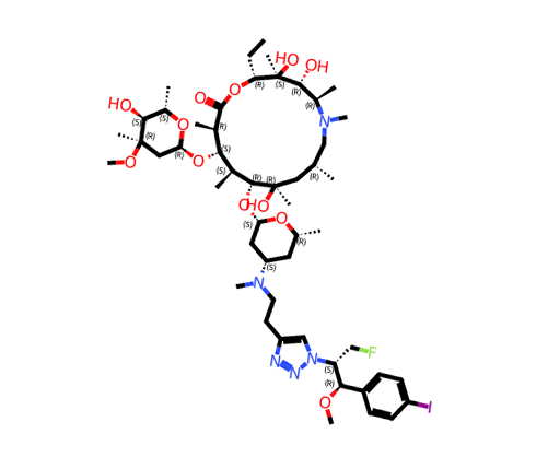 CC[C@H]1OC(=O)[C@H](C)[C@@H](O[C@H]2C[C@@](C)(OC)[C@@H](O)[C@H](C)O2)[C@H](C)[C@@H](O[C@H]2C[C@@H](N(C)CCc3cn([C@H](CF)[C@H](OC)c4ccc(I)cc4)nn3)C[C@@H](C)O2)[C@](C)(O)C[C@@H](C)CN(C)[C@H](C)[C@@H](O)[C@]1(C)O